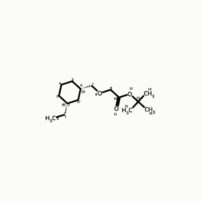 CC[C@@H]1CCC[C@H](COCC(=O)OC(C)(C)C)C1